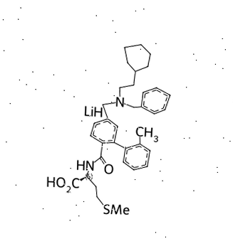 CSCC[C@H](NC(=O)c1ccc(CN(CCC2CCCCC2)Cc2ccccc2)cc1-c1ccccc1C)C(=O)O.[LiH]